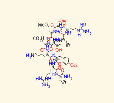 CN[C@@H](CC(C)C)C(=O)N[C@@H](CCCNC(=N)N)C(=O)N[C@@H](CO)C(=O)N[C@@H](CCOC)C(=O)N[C@H](C(=O)N[C@@H](CC(=O)O)C(=O)N[C@@H](CCCCN)C(=O)N[C@@H](Cc1ccc(O)cc1)C(=O)N[C@@H](CCCNC(=N)N)C(=O)N[C@@H](CC(C)C)C(N)=O)[C@@H](C)O